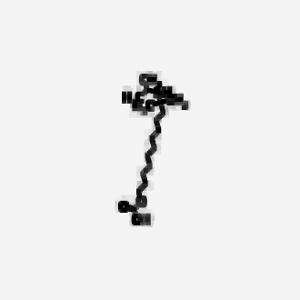 CC(C)[SiH2]C(C)(C)CCCCCCCCCCOC(=O)O